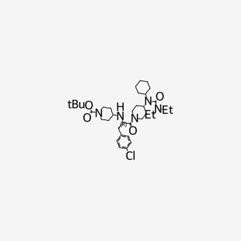 CCN(CC)C(=O)N(C1CCCCC1)C1CCN(C(=O)[C@@H](Cc2ccc(Cl)cc2)NC2CCN(C(=O)OC(C)(C)C)CC2)CC1